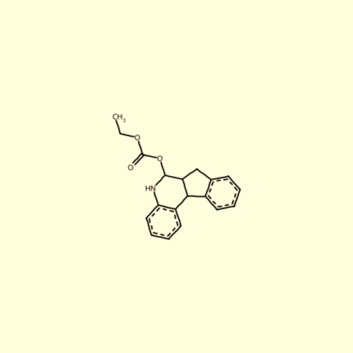 CCOC(=O)OC1Nc2ccccc2C2c3ccccc3CC12